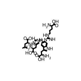 CC(C)CC(N)C(=O)O.N=C(N)NCCCC(N)C(=O)O.NC(Cc1c[nH]c2ccccc12)C(=O)O.NC(Cc1c[nH]cn1)C(=O)O